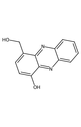 OCc1ccc(O)c2nc3ccccc3nc12